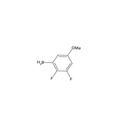 Bc1cc(OC)cc(F)c1F